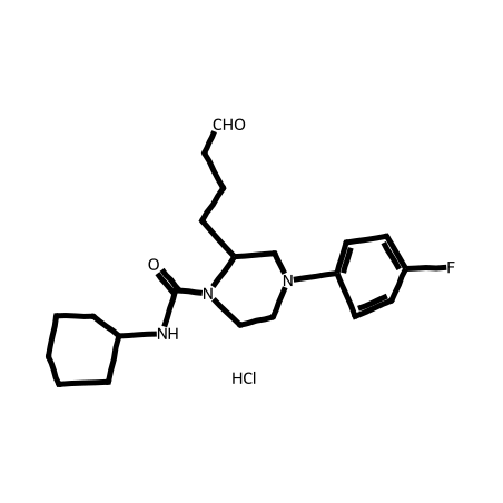 Cl.O=CCCCC1CN(c2ccc(F)cc2)CCN1C(=O)NC1CCCCC1